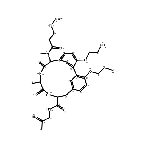 CCCCCCCCCCNCCC(=O)N(C)C1C(=O)NC(C)C(=O)NC(C(=O)NCC(C)=N)Cc2ccc(OCCN)c(c2)-c2cc1ccc2OCCN